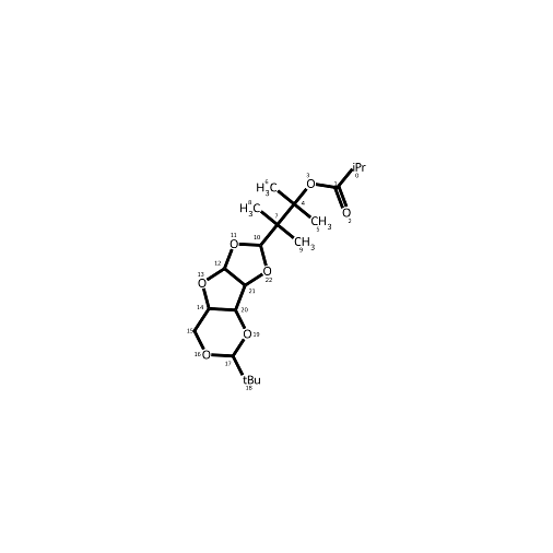 CC(C)C(=O)OC(C)(C)C(C)(C)C1OC2OC3COC(C(C)(C)C)OC3C2O1